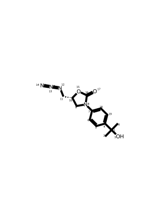 CC(C)(O)c1ccc(N2C[C@H](CN=[N+]=[N-])OC2=O)cc1